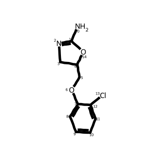 NC1=NCC(COc2ccccc2Cl)O1